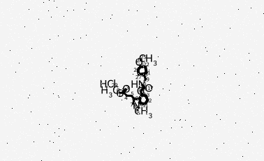 COC(=O)CCC1CN(C)c2cccc(OC(=O)NCc3ccc(OC)cc3)c21.Cl